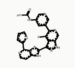 CCCC(=O)Nc1cncc(-c2ncc3[nH]nc(-c4nc5c(-c6cccs6)nccc5[nH]4)c3c2F)c1